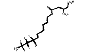 O=C(O)CC(CC(=O)OCCCCCCC(F)(F)C(F)(F)C(F)(F)C(F)(F)F)C(=O)O